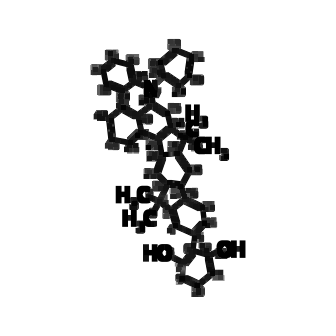 CC1(C)c2cc(-c3c(O)cccc3O)ccc2-c2cc3c(cc21)-c1c(cc(N(c2ccccc2)c2ccccc2)c2ccccc12)C3(C)C